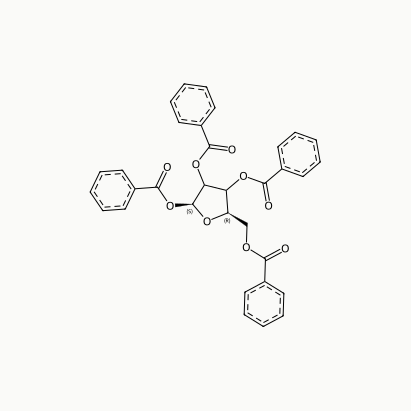 O=C(OC[C@H]1O[C@@H](OC(=O)c2ccccc2)C(OC(=O)c2ccccc2)C1OC(=O)c1ccccc1)c1ccccc1